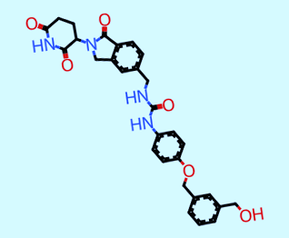 O=C1CCC(N2Cc3cc(CNC(=O)Nc4ccc(OCc5cccc(CO)c5)cc4)ccc3C2=O)C(=O)N1